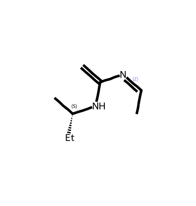 C=C(/N=C\C)N[C@@H](C)CC